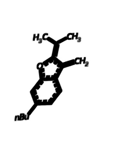 C=c1c(=C(C)C)oc2cc(CCCC)ccc12